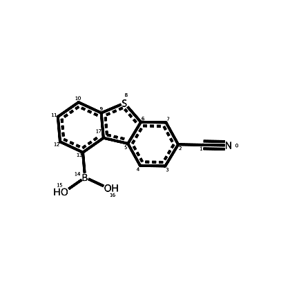 N#Cc1ccc2c(c1)sc1cccc(B(O)O)c12